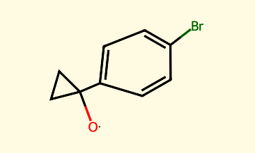 [O]C1(c2ccc(Br)cc2)CC1